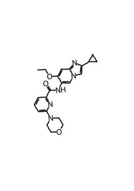 CCOc1cc2nc(C3CC3)cn2cc1NC(=O)c1cccc(N2CCOCC2)n1